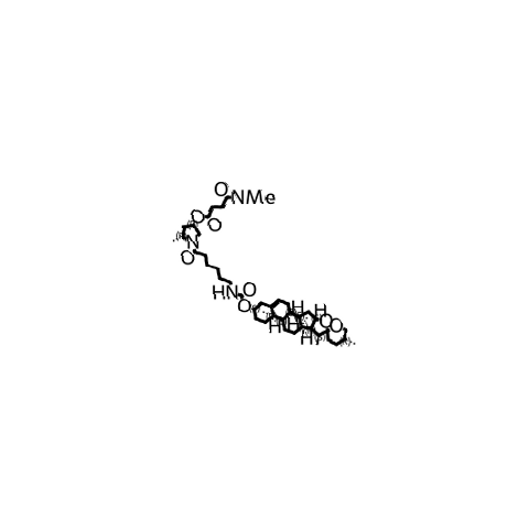 CNC(=O)CCC(=O)O[C@@H]1C[C@@H](C)N(C(=O)CCCCCNC(=O)O[C@H]2CC[C@@]3(C)C(=CC[C@H]4[C@@H]5C[C@@H]6OC7(CC[C@@H](C)CO7)[C@@H](C)[C@@H]6[C@@]5(C)CC[C@@H]43)C2)C1